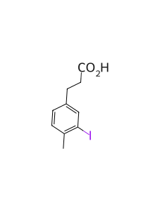 Cc1ccc(CCC(=O)O)cc1I